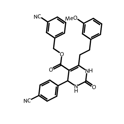 COc1cccc(CCC2=C(C(=O)OCc3cccc(C#N)c3)C(c3ccc(C#N)cc3)NC(=O)N2)c1